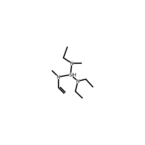 C=CN(C)[SiH](N(C)CC)N(CC)CC